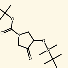 CC(C)(C)OC(=O)N1CC(=O)C(O[Si](C)(C)C(C)(C)C)C1